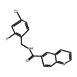 O=C(NCc1ccc(Cl)cc1F)c1ccc2ncccc2c1